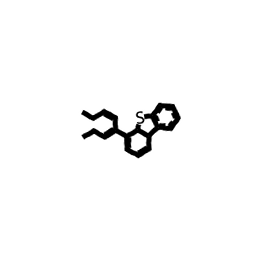 CC/C=C\C(=C/CC)C1=CC=CC2c3ccccc3SC12